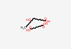 CCCCCCC(O)C/C=C\CCCCCCCC(=O)O.O=C(O)CCCCCCCCC(=O)O